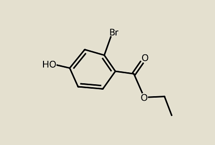 CCOC(=O)c1ccc(O)cc1Br